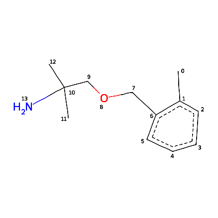 Cc1ccccc1COCC(C)(C)N